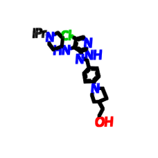 CC(C)N1CCC(Nc2c(Cl)cnc3[nH]c(-c4ccc(N5CCC(CCO)CC5)cc4)nc23)CC1